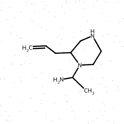 C=CCC1CNCCN1C(C)N